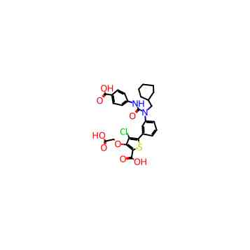 O=C(O)COc1c(C(=O)O)sc(-c2cccc(N(CC3CCCCC3)C(=O)Nc3ccc(C(=O)O)cc3)c2)c1Cl